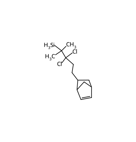 CC(C)([SiH3])C(Cl)(Cl)CCC1CC2C=CC1C2